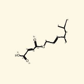 CC(C)CC(C)C=CCOC(=O)C=CC(=O)O